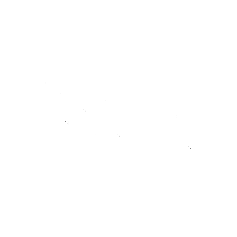 Cc1cnn(C(C)(C)C(=O)Nc2ccc([N+](=O)[O-])c(C(F)(F)F)c2)c1